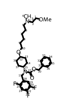 COCCN(C)CCCCCCO[C@H]1CC[C@H](N(Cc2cc(F)c(F)cc2F)C(=O)OCc2ccccc2)CC1